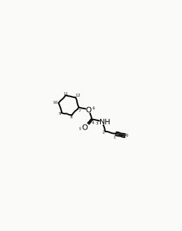 C#CCNC(=O)OC1CCCCC1